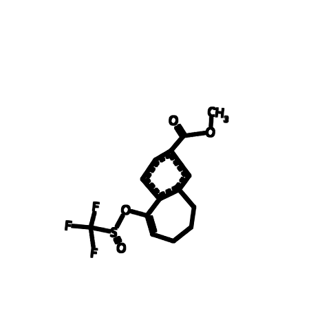 COC(=O)c1ccc2c(c1)CCCC=C2OS(=O)C(F)(F)F